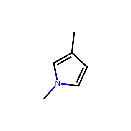 Cc1[c]n(C)cc1